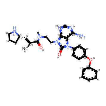 CN(CCn1c(=O)n(-c2ccc(Oc3ccccc3)cc2)c2c(N)ncnc21)C(=O)C(C#N)=C[C@@H]1CCCN1